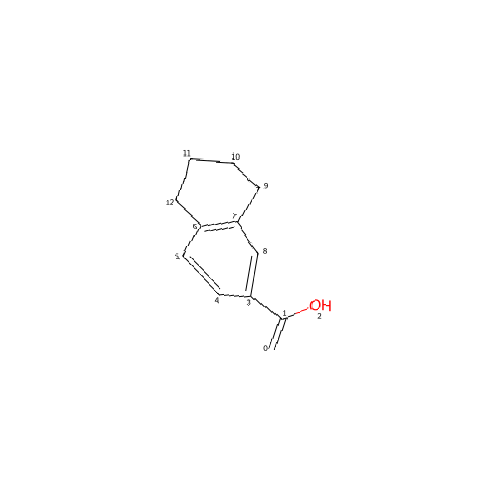 C=C(O)c1ccc2c(c1)CCCC2